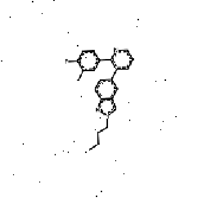 CCCCn1cc2cc(-c3cccnc3-c3ccc(F)c(C)c3)ccc2n1